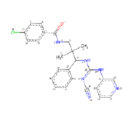 CC(C)(CNC(=O)c1ccc(Cl)cc1)C(NC(=NC#N)Nc1cccnc1)c1ccccc1